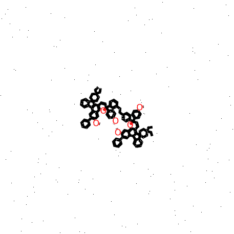 CCC1(CC)CCC2(CC1)C1=C3C=CC(c4ccc(CCc5cccc(C6(c7ccc(OC)cc7)C=Cc7c8c(c9cc(-c%10ccccc%10)c(OC)cc9c7O6)-c6ccccc6C86CCC(CC)(CC)CC6)c5)cc4)(c4ccc(OC)cc4)OC3=C3C=C(OC)C(c4ccccc4)=CC3C1c1ccccc12